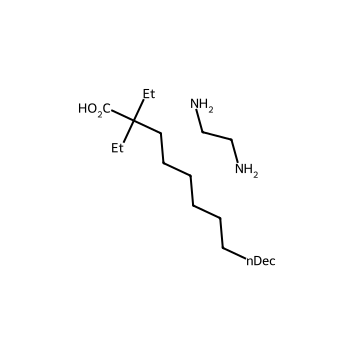 CCCCCCCCCCCCCCCCC(CC)(CC)C(=O)O.NCCN